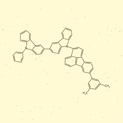 Cc1cc(C)cc(-c2ccc3c(c2)-c2cccc4c(-n5c6ccccc6c6cc(-c7ccc8c(c7)c7ccccc7n8-c7ccccc7)ccc65)ccc-3c24)c1